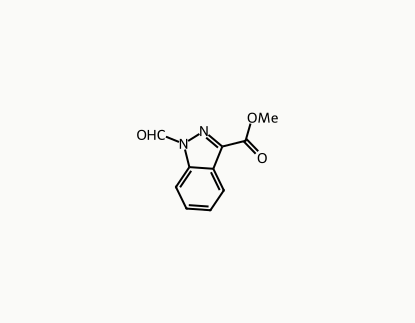 COC(=O)c1nn(C=O)c2ccccc12